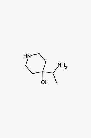 CC(N)C1(O)CCNCC1